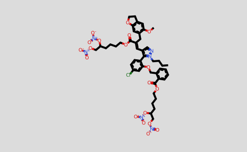 CCCCn1ncc(/C=C(\Cc2cc3c(cc2OC)CCO3)C(=O)OCCCCC(CO[N+](=O)[O-])O[N+](=O)[O-])c1-c1ccc(Cl)cc1OCc1ccccc1C(=O)OCCCCC(CO[N+](=O)[O-])O[N+](=O)[O-]